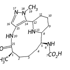 C[C@@H]1CCC[C@H](NC(=O)O)C2CCCC(N2)c2c(cnn2C)NC1=O